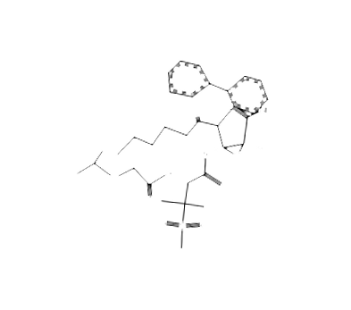 CCCCCC(=O)[C](c1ccccc1-c1ccccc1)[C@]1(NC(=O)[C@@H](NC(=O)COC(C)C)C(C)(C)S(C)(=O)=O)O[C@]1(C)C(N)=O